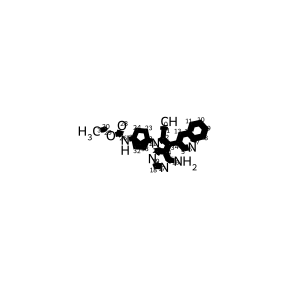 C#Cc1c(-c2cnc3ccccc3c2)c2c(N)ncnc2n1C12CCC(NC(=O)OCC)(CC1)C2